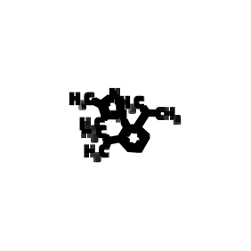 Cc1ncn(-c2c(C(C)C)cccc2C(C)C)c1C